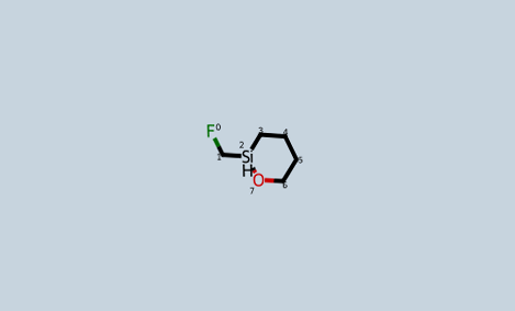 FC[SiH]1CCCCO1